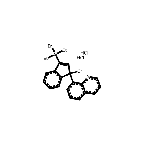 CC[Si](Br)(CC)C1=C[C]([Cr])(c2cccc3cccnc23)c2ccccc21.Cl.Cl